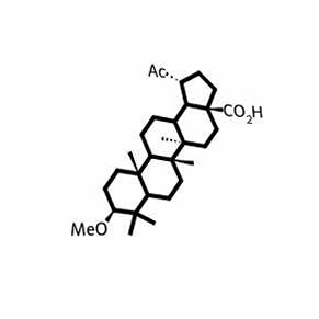 CO[C@H]1CC[C@@]2(C)C(CC[C@]3(C)C2CCC2C4[C@H](C(C)=O)CC[C@]4(C(=O)O)CC[C@]23C)C1(C)C